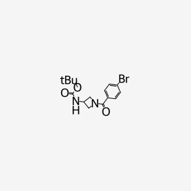 CC(C)(C)OC(=O)NC1CN(C(=O)c2ccc(Br)cc2)C1